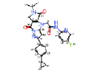 CC(C)N1Cc2c(n(CC(=O)Nc3ccc(F)cn3)c3cc(-c4ccc(C5CC5)cc4)nn3c2=O)C1=O